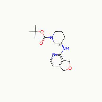 CC(C)(C)OC(=O)N1CCC[C@@H](Nc2nccc3c2COC3)C1